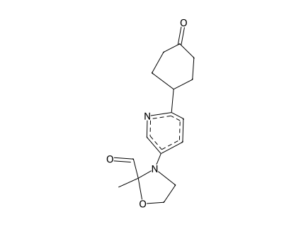 CC1(C=O)OCCN1c1ccc(C2CCC(=O)CC2)nc1